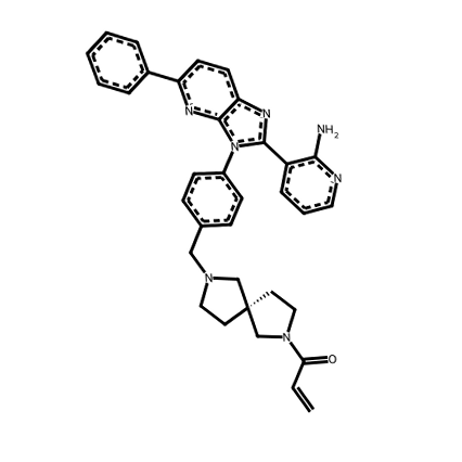 C=CC(=O)N1CC[C@@]2(CCN(Cc3ccc(-n4c(-c5cccnc5N)nc5ccc(-c6ccccc6)nc54)cc3)C2)C1